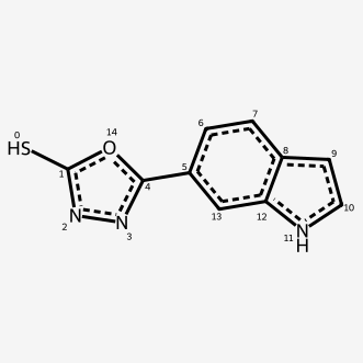 Sc1nnc(-c2ccc3cc[nH]c3c2)o1